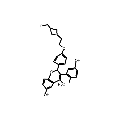 CC1=C(c2cc(O)ccc2F)C(c2ccc(OCCN3CC(CF)C3)cc2)Oc2ccc(O)cc21